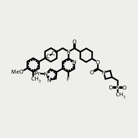 COc1ccc(C23CCC(CN(C(=O)C4CCC(OC(=O)N5CC(CS(C)(=O)=O)C5)CC4)c4cc(-c5cnn(C(C)C)c5)c(F)cn4)(CC2)CC3)cc1C